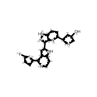 Oc1cncc(-c2ccc3[nH]nc(-c4cc5c(-c6ccc(F)s6)nccc5[nH]4)c3n2)c1